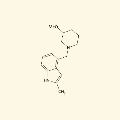 COC1CCCN(Cc2cccc3[nH]c(C)cc23)C1